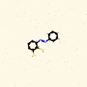 Sc1cccc(N=Nc2ccccc2)c1S